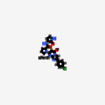 CCCCCn1c(N2CCC[C@H]2C(=O)N[C@H]2CCNC2=O)cc(=O)n2cc(-c3ccc(Cl)cc3)nc12